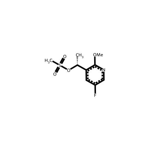 COc1ncc(F)cc1[C@@H](C)OS(C)(=O)=O